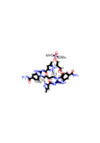 CCn1nc(C)cc1C(=O)/N=c1/[nH]c2cc(C(N)=O)cc(OC)c2n1C/C=C/Cn1/c(=N\C(=O)c2cc(C)nn2CC)[nH]c2cc(C(N)=O)cc(OCCCOP(=O)(OC)OC)c21